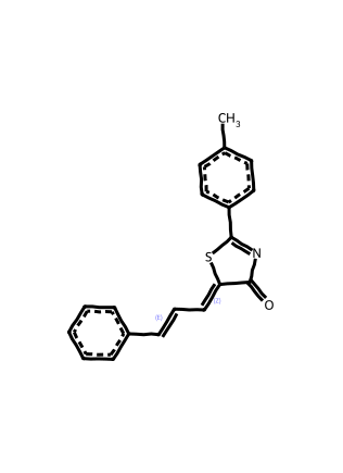 Cc1ccc(C2=NC(=O)/C(=C/C=C/c3ccccc3)S2)cc1